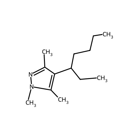 CCCCC(CC)c1c(C)nn(C)c1C